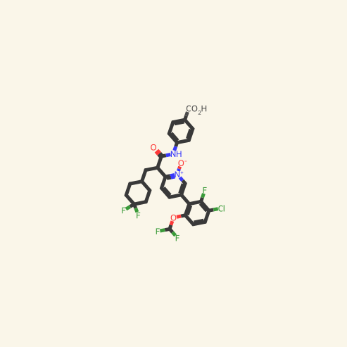 O=C(O)c1ccc(NC(=O)C(CC2CCC(F)(F)CC2)c2ccc(-c3c(OC(F)F)ccc(Cl)c3F)c[n+]2[O-])cc1